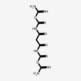 N=C(N)OC(=S)NC(=O)CC(=O)NC(=S)OC(=N)N